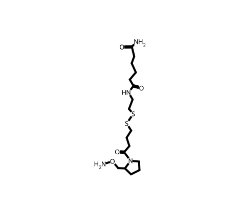 NOCC1CCCN1C(=O)CCCSSCCNC(=O)CCCCC(N)=O